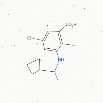 Cc1c(NC(C)C2CCC2)cc(Cl)cc1C(=O)O